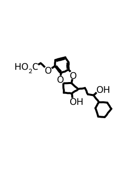 O=C(O)COc1cccc2c1OC1CC(O)C(CCC(O)C3CCCCC3)C1O2